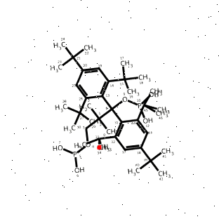 [CH2]C([CH2])(COP(O)O)C(OP(O)O)(c1c(C(C)(C)C)cc(C(C)(C)C)cc1C(C)(C)C)c1c(C(C)(C)C)cc(C(C)(C)C)cc1C(C)(C)C